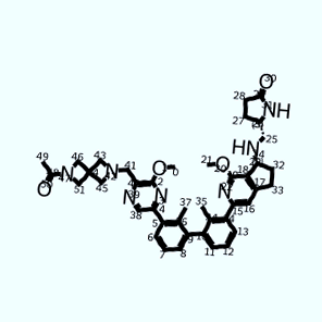 COc1nc(-c2cccc(-c3cccc(-c4cc5c(c(OC)n4)[C@@H](NC[C@@H]4CCC(=O)N4)CC5)c3C)c2C)cnc1CN1CC2(C1)CN(C(C)=O)C2